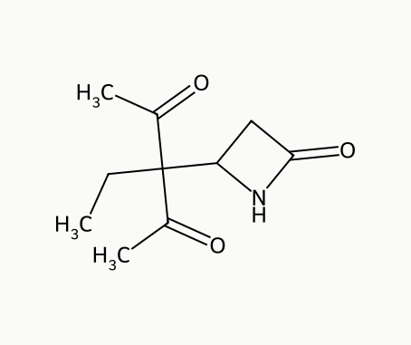 CCC(C(C)=O)(C(C)=O)C1CC(=O)N1